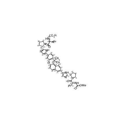 COC(=O)N[C@H](C(=O)N1CCC[C@H]1c1ncc(-c2ccc3c4c(ccc3c2)Oc2cc(-c3cnc([C@@H]5CCCN5C(=O)[C@@H](NC(=O)O)C(C)C)[nH]3)ccc2C4(C)C)[nH]1)C(C)C